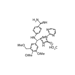 CC(=O)O.COCc1cc(C(Nc2ccc(C(=N)N)cc2)c2nn(-c3ncccn3)c(=O)[nH]2)cc(OC)c1OC